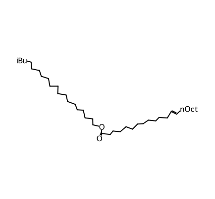 CCCCCCCCC=CCCCCCCCCCCCC(=O)OCCCCCCCCCCCCCCCCC(C)CC